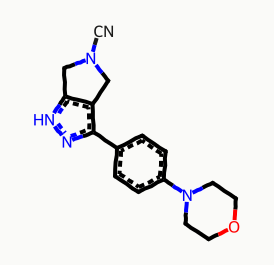 N#CN1Cc2[nH]nc(-c3ccc(N4CCOCC4)cc3)c2C1